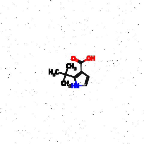 CC(C)(C)c1[nH]ccc1C(=O)O